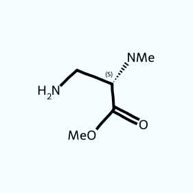 CN[C@@H](CN)C(=O)OC